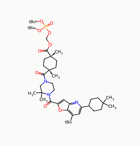 CC1(C)CCC(c2cc(C(C)(C)C)c3oc(C(=O)N4CCN(C(=O)[C@]5(C)CC[C@](C)(C(=O)OCOP(=O)(OC(C)(C)C)OC(C)(C)C)CC5)CC4(C)C)cc3n2)CC1